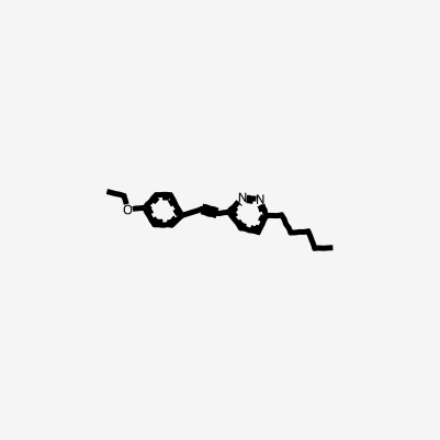 CCCCCc1ccc(C#Cc2ccc(OCC)cc2)nn1